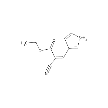 CCOC(=O)C(C#N)=CC1=C[SeH2]C=C1